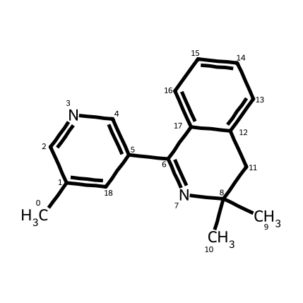 Cc1cncc(C2=NC(C)(C)Cc3ccccc32)c1